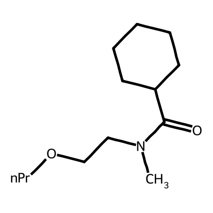 CCCOCCN(C)C(=O)C1CCCCC1